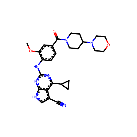 COc1cc(C(=O)N2CCC(N3CCOCC3)CC2)ccc1Nc1nc(C2CC2)c2c(C#N)c[nH]c2n1